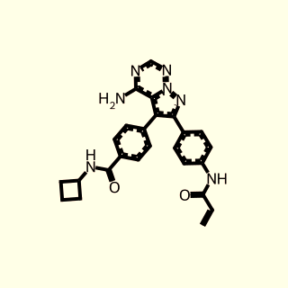 C=CC(=O)Nc1ccc(-c2nn3ncnc(N)c3c2-c2ccc(C(=O)NC3CCC3)cc2)cc1